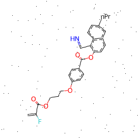 C=C(F)C(=O)OCCCOc1ccc(C(=O)Oc2ccc3cc(CCC)ccc3c2C=N)cc1